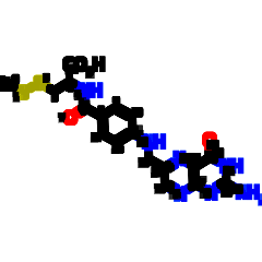 CCSSC[C@H](NC(=O)c1ccc(NCc2cnc3nc(N)[nH]c(=O)c3n2)cc1)C(=O)O